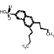 CCCCc1cc2ccc(S(=O)(=O)O)cc2cc1CCCC